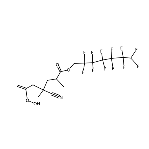 C=C(CC(C)(C#N)CC(C)C(=O)OCC(F)(F)C(F)(F)C(F)(F)C(F)(F)C(F)(F)C(F)F)OO